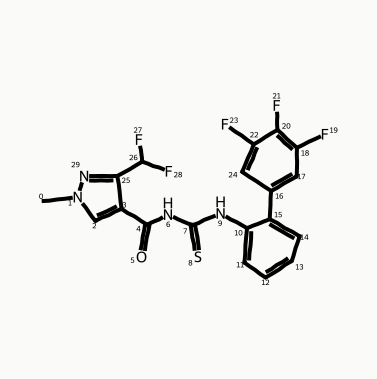 Cn1cc(C(=O)NC(=S)Nc2ccccc2-c2cc(F)c(F)c(F)c2)c(C(F)F)n1